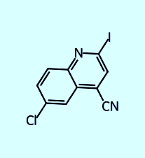 N#Cc1cc(I)nc2ccc(Cl)cc12